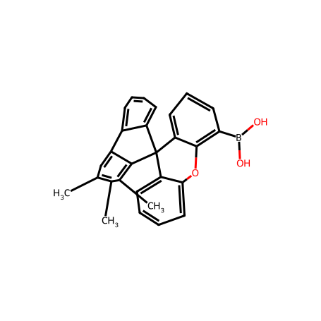 Cc1cc2c(c(C)c1C)C1(c3ccccc3Oc3c(B(O)O)cccc31)c1ccccc1-2